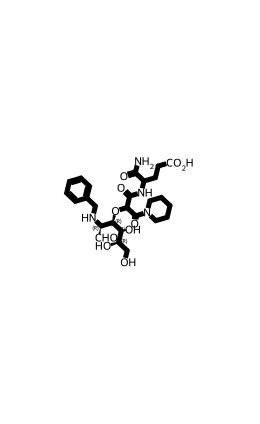 NC(=O)C(CCC(=O)O)NC(=O)C(O[C@@H]([C@H](O)[C@H](O)CO)[C@H](C=O)NCc1ccccc1)C(=O)N1CCCCC1